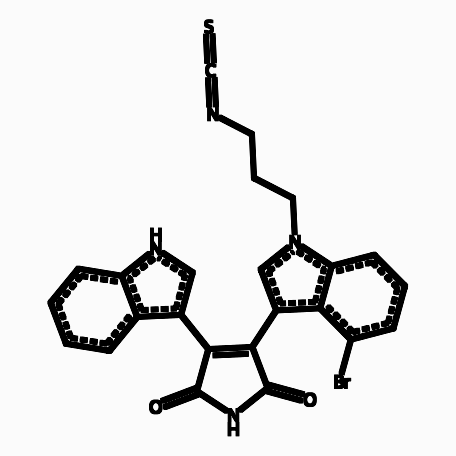 O=C1NC(=O)C(c2cn(CCCN=C=S)c3cccc(Br)c23)=C1c1c[nH]c2ccccc12